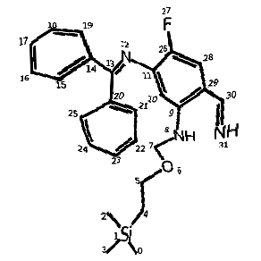 C[Si](C)(C)CCOCNc1cc(N=C(c2ccccc2)c2ccccc2)c(F)cc1C=N